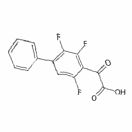 O=C(O)C(=O)c1c(F)cc(-c2ccccc2)c(F)c1F